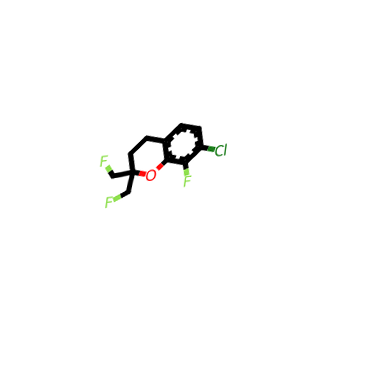 FCC1(CF)CCc2ccc(Cl)c(F)c2O1